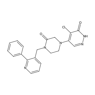 O=C1CN(c2cn[nH]c(=O)c2Cl)CCN1Cc1cccnc1-c1ccccc1